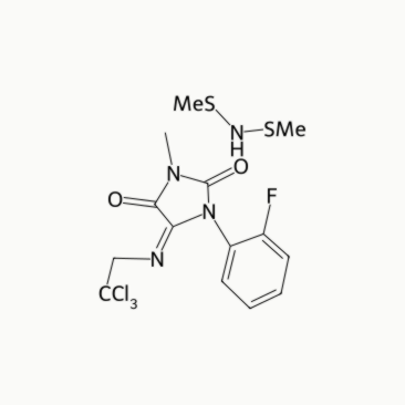 CN1C(=O)C(=NCC(Cl)(Cl)Cl)N(c2ccccc2F)C1=O.CSNSC